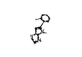 Cc1ccccc1-c1cc2nccnc2n1C